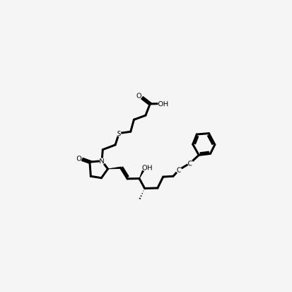 C[C@@H](CCCCCc1ccccc1)[C@H](O)/C=C/[C@H]1CCC(=O)N1CCSCCCC(=O)O